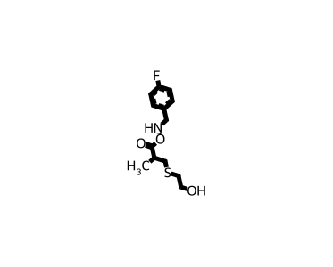 CC(CSCCO)C(=O)ONCc1ccc(F)cc1